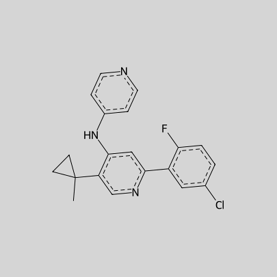 CC1(c2cnc(-c3cc(Cl)ccc3F)cc2Nc2ccncc2)CC1